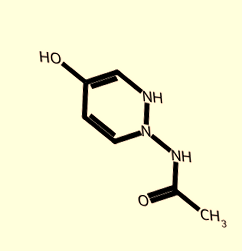 CC(=O)NN1C=CC(O)=CN1